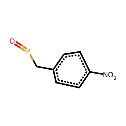 O=PCc1ccc([N+](=O)[O-])cc1